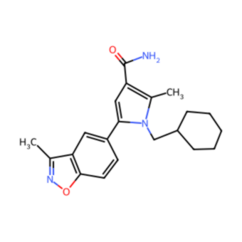 Cc1noc2ccc(-c3cc(C(N)=O)c(C)n3CC3CCCCC3)cc12